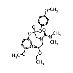 CCOC(=O)CN(CP(=O)(Oc1ccc(OC)cc1)Oc1ccc(OC)cc1)C(=O)N(C)C